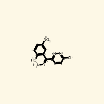 NN=C(c1ccc(Cl)nn1)c1cc([N+](=O)[O-])ccc1O